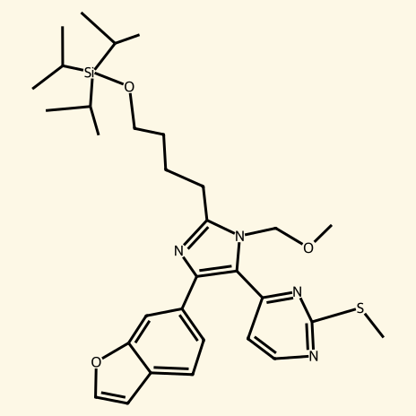 COCn1c(CCCCO[Si](C(C)C)(C(C)C)C(C)C)nc(-c2ccc3ccoc3c2)c1-c1ccnc(SC)n1